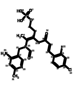 C/C(=C(\CCOP(=O)(O)O)SC(=O)/C=C/c1ccc(Cl)cc1F)N(C=O)Cc1cnc(C)nc1N